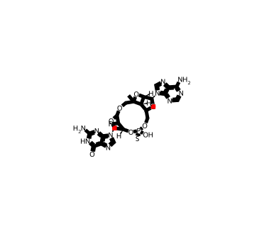 CC12COC3O[C@@H](n4cnc5c(=O)[nH]c(N)nc54)[C@H](OP(O)(=S)OC[C@H]4O[C@@H](n5cnc6c(N)ncnc65)[C@H](O1)[C@@H]42)C3(F)F